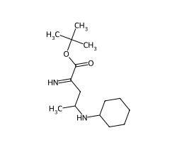 CC(CC(=N)C(=O)OC(C)(C)C)NC1CCCCC1